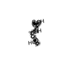 CC(Cc1ccc(OCP(=O)(O)c2ccccc2)cc1)NCC(O)COc1ccc(O)c(NS(C)(=O)=O)c1